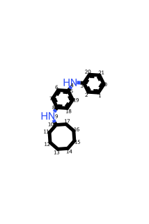 c1ccc(Nc2ccc(NC3CCCCCCC3)cc2)cc1